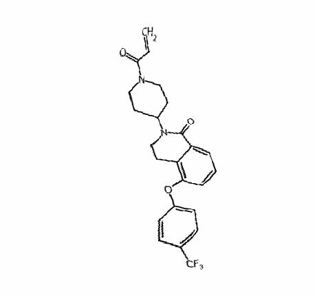 C=CC(=O)N1CCC(N2CCc3c(Oc4ccc(C(F)(F)F)cc4)cccc3C2=O)CC1